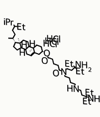 CCC(CCC(C)[C@H]1CC[C@H]2[C@@H]3CC=C4C[C@@H](OC(=O)CCCC(=O)N(CCCCNCCC(N)(CC)CC)CCC(N)(CC)CC)CC[C@]4(C)[C@H]3CC[C@]12C)C(C)C.Cl.Cl.Cl